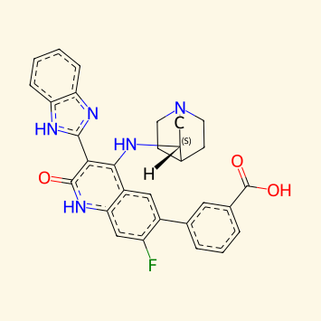 O=C(O)c1cccc(-c2cc3c(N[C@@H]4CN5CCC4CC5)c(-c4nc5ccccc5[nH]4)c(=O)[nH]c3cc2F)c1